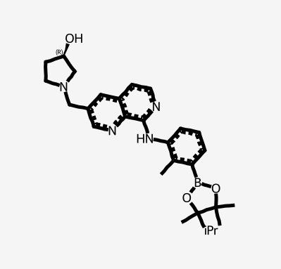 Cc1c(Nc2nccc3cc(CN4CC[C@@H](O)C4)cnc23)cccc1B1OC(C)(C)C(C)(C(C)C)O1